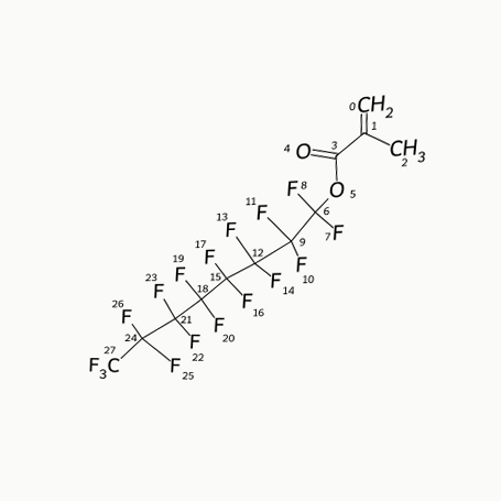 C=C(C)C(=O)OC(F)(F)C(F)(F)C(F)(F)C(F)(F)C(F)(F)C(F)(F)C(F)(F)C(F)(F)F